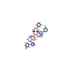 CO[C@@H]1[C@@H](n2cc(-c3cccc(F)c3)nn2)[C@H]2OC(c3ccccc3)OC[C@H]2O[C@H]1C(=O)N[C@@H]1CCC[C@H](n2nncc2-c2cccc(F)c2)[C@H]1O